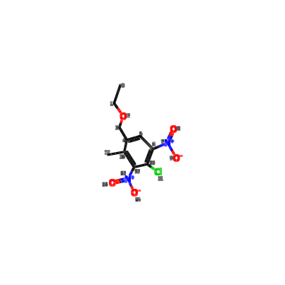 CCOCc1cc([N+](=O)[O-])c(Cl)c([N+](=O)[O-])c1C